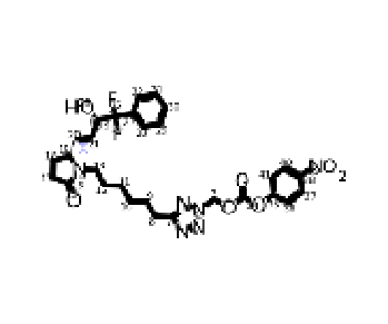 O=C(OCn1nnc(CCCCCCN2C(=O)CC[C@@H]2/C=C/[C@@H](O)C(F)(F)c2ccccc2)n1)Oc1ccc([N+](=O)[O-])cc1